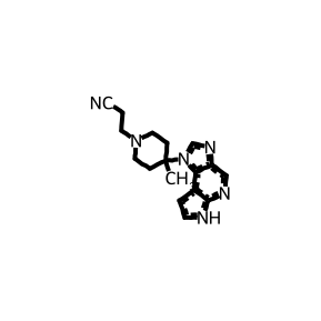 CC1(n2cnc3cnc4[nH]ccc4c32)CCN(CCC#N)CC1